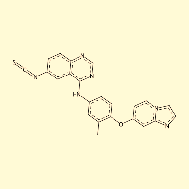 Cc1cc(Nc2ncnc3ccc(N=C=S)cc23)ccc1Oc1ccn2ccnc2c1